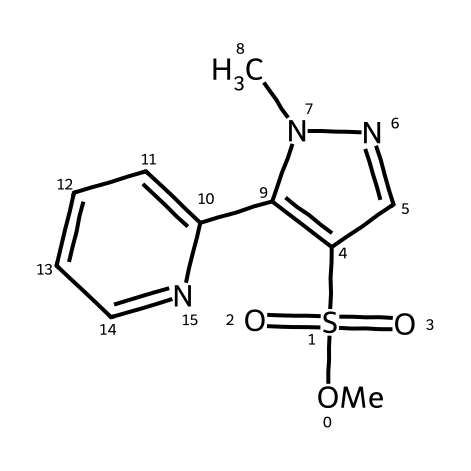 COS(=O)(=O)c1cnn(C)c1-c1ccccn1